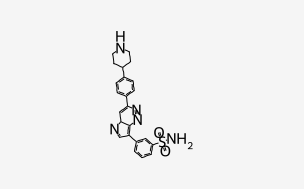 NS(=O)(=O)c1cccc(C2=C3N=NC(c4ccc(C5CCNCC5)cc4)=CC3N=C2)c1